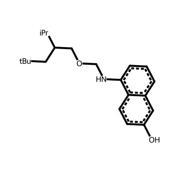 CC(C)C(COCNc1cccc2cc(O)ccc12)CC(C)(C)C